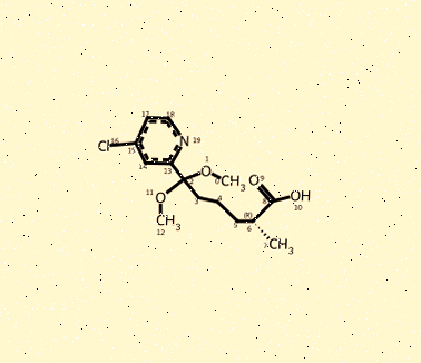 COC(CCC[C@@H](C)C(=O)O)(OC)c1cc(Cl)ccn1